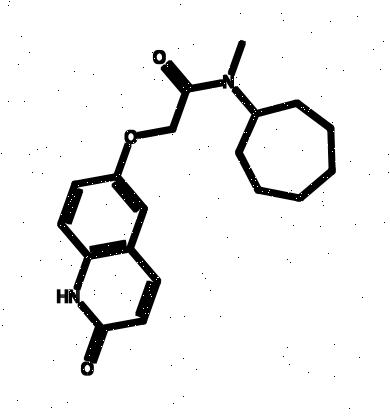 CN(C(=O)COc1ccc2[nH]c(=O)ccc2c1)C1CCCCCC1